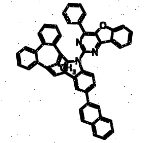 Cc1c2cc3c4cc(-c5ccc6ccccc6c5)ccc4n(-c4nc(-c5ccccc5)c5oc6ccccc6c5n4)c3c1-c1ccccc1-c1ccccc1-2